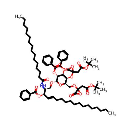 CCCCCCCCCCCCC/C=C/[C@@H](OC(=O)c1ccccc1)[C@H](CO[C@H]1O[C@H](COC2(CC(=O)OC(C)(C)C)OC2=O)[C@H](OC2(CC(=O)OC(C)(C)C)OC2=O)[C@H](OC(=O)c2ccccc2)[C@H]1OC(=O)c1ccccc1)NC(=O)CCCCCCCCCCCCCCC